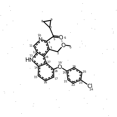 COCc1c(C(=O)C2CC2)ncc2[nH]c3cccc(Oc4ccc(Cl)cc4)c3c12